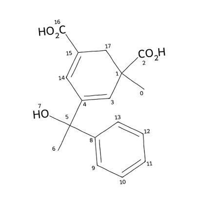 CC1(C(=O)O)C=C(C(C)(O)c2ccccc2)C=C(C(=O)O)C1